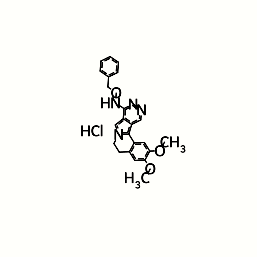 COc1cc2c(cc1OC)-c1c3cnnc(NOCc4ccccc4)c3cn1CC2.Cl